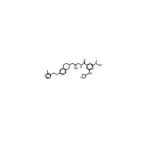 CCCN(C)c1nc(NC2COC2)cc(C(=O)NC[C@@H](O)CN2CCc3cc(OCc4ocnc4C)ccc3C2)n1